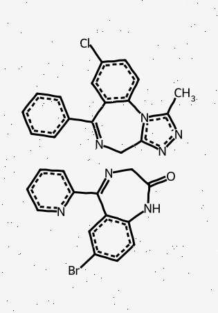 Cc1nnc2n1-c1ccc(Cl)cc1C(c1ccccc1)=NC2.O=C1CN=C(c2ccccn2)c2cc(Br)ccc2N1